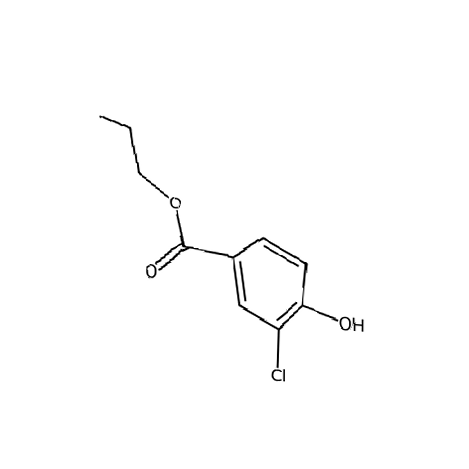 CCCOC(=O)c1ccc(O)c(Cl)c1